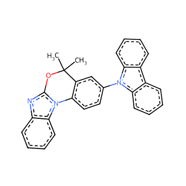 CC1(C)Oc2nc3ccccc3n2-c2ccc(-n3c4ccccc4c4ccccc43)cc21